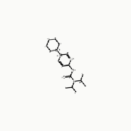 CC(C)N(C(=O)OC1C=CN(N2CCCCC2)C=N1)C(C)C